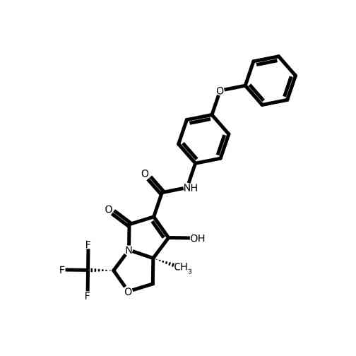 C[C@]12CO[C@H](C(F)(F)F)N1C(=O)C(C(=O)Nc1ccc(Oc3ccccc3)cc1)=C2O